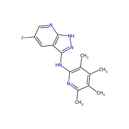 Cc1nc(Nc2n[nH]c3ncc(F)cc23)c(C)c(C)c1C